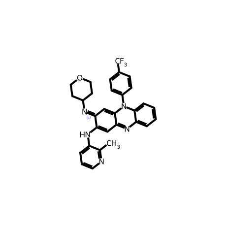 Cc1ncccc1Nc1cc2nc3ccccc3n(-c3ccc(C(F)(F)F)cc3)c-2c/c1=N\C1CCOCC1